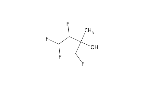 CC(O)(CF)C(F)C(F)F